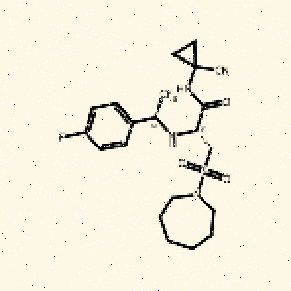 N#CC1(NC(=O)[C@H](CS(=O)(=O)N2CCCCCC2)N[C@@H](c2ccc(F)cc2)C(F)(F)F)CC1